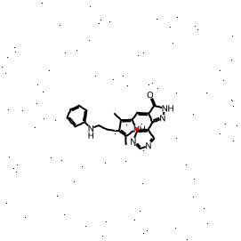 Cc1[nH]c(/C=C2/C(=O)NN=C2c2cncnc2)c(C)c1CCNc1ccccc1